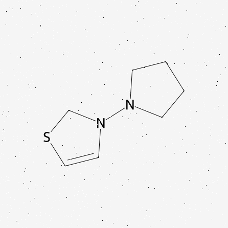 C1=CN(N2CCCC2)CS1